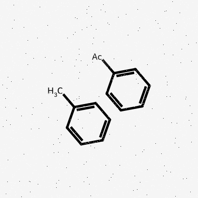 CC(=O)c1ccccc1.Cc1ccccc1